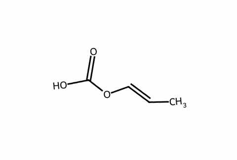 CC=COC(=O)O